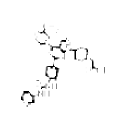 CC1CN(c2nc(-c3ccc(NC(=O)Nc4cccnc4)cc3)nc3c2cnn3C2CCN(CC(=O)O)CC2)CCO1